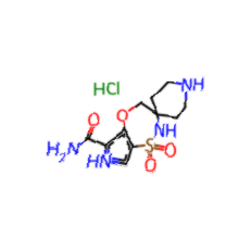 Cl.NC(=O)c1[nH]cc2c1OCC1(CCNCC1)NS2(=O)=O